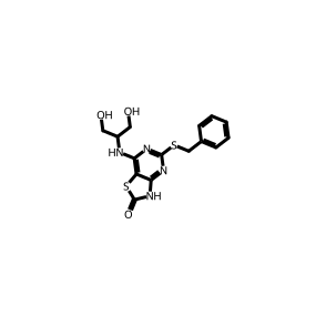 O=c1[nH]c2nc(SCc3ccccc3)nc(NC(CO)CO)c2s1